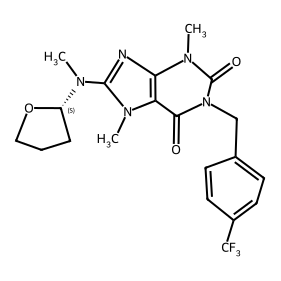 CN(c1nc2c(c(=O)n(Cc3ccc(C(F)(F)F)cc3)c(=O)n2C)n1C)[C@@H]1CCCO1